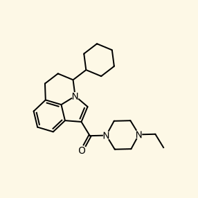 CCN1CCN(C(=O)c2cn3c4c(cccc24)CCC3C2CCCCC2)CC1